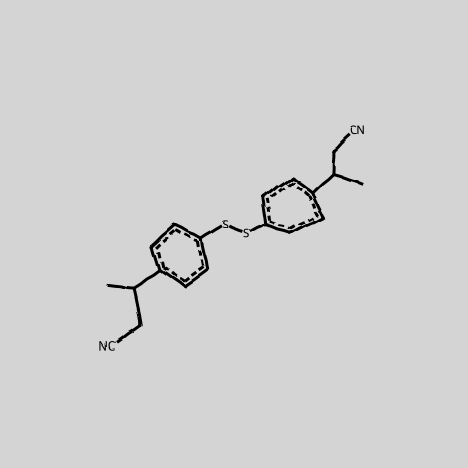 CC(CC#N)c1ccc(SSc2ccc(C(C)CC#N)cc2)cc1